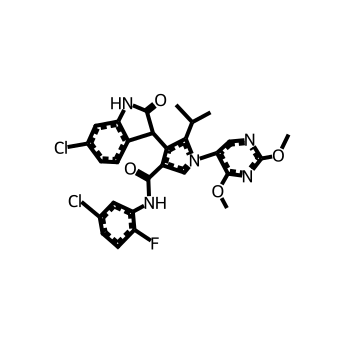 COc1ncc(-n2cc(C(=O)Nc3cc(Cl)ccc3F)c(C3C(=O)Nc4cc(Cl)ccc43)c2C(C)C)c(OC)n1